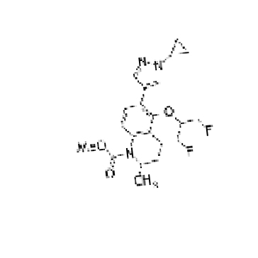 COC(=O)N1c2ccc(-c3cnn(C4CC4)c3)c(OC(CF)CF)c2CCC1C